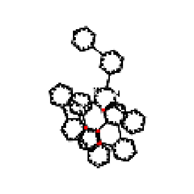 c1ccc(-c2cccc(-c3nc(-c4ccccc4)nc(-n4c5ccccc5c5ccc6c7ccccc7n(-c7ccccc7-c7ccccc7-c7cccc(-c8ccccc8)c7)c6c54)n3)c2)cc1